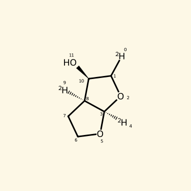 [2H]C1O[C@@]2([2H])OCC[C@@]2([2H])[C@H]1O